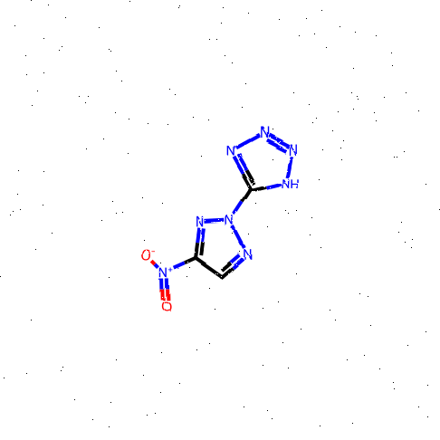 O=[N+]([O-])c1cnn(-c2nnn[nH]2)n1